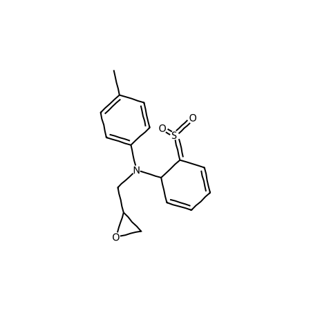 Cc1ccc(N(CC2CO2)C2C=CC=CC2=S(=O)=O)cc1